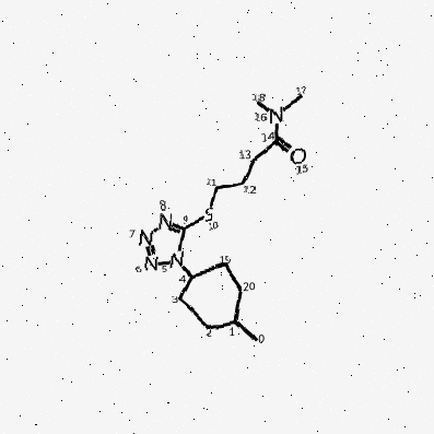 CC1CCC(n2nnnc2SCCCC(=O)N(C)C)CC1